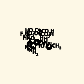 Cc1cccc(NC(=O)Nc2ccc(-c3c(C(=O)NCC(F)(F)F)cn4ncnc(N)c34)cc2F)n1.O=C(O)C=CC(=O)O.O=C(O)C=CC(=O)O